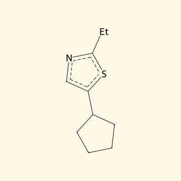 CCc1ncc(C2CCCC2)s1